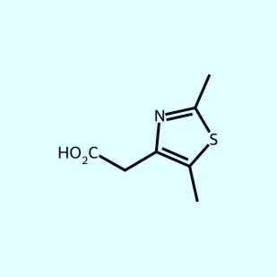 Cc1nc(CC(=O)O)c(C)s1